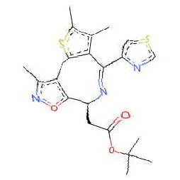 Cc1noc2c1-c1sc(C)c(C)c1C(c1cscn1)=N[C@H]2CC(=O)OC(C)(C)C